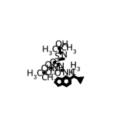 C[C@H](c1ccc2c(c1NC(=O)N=S(=O)(NC(=O)OC(C)(C)C)c1cnc(C(C)(C)O)s1)CCC2)C1CC1